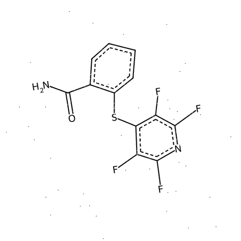 NC(=O)c1ccccc1Sc1c(F)c(F)nc(F)c1F